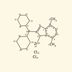 Cc1ccc(C)c2c1C=C(P(C1CCCCC1)C1CCCCC1)[CH]2[Zr+2].[Cl-].[Cl-]